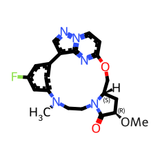 CO[C@@H]1C[C@H]2COc3ccn4ncc(c4n3)-c3cc(F)cc(c3)N(C)CCN2C1=O